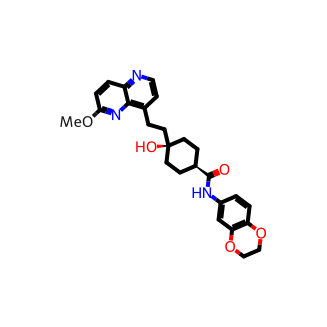 COc1ccc2nccc(CC[C@]3(O)CC[C@@H](C(=O)Nc4ccc5c(c4)OCCO5)CC3)c2n1